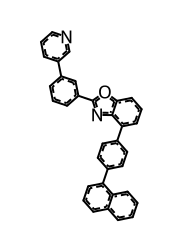 c1cncc(-c2cccc(-c3nc4c(-c5ccc(-c6cccc7ccccc67)cc5)cccc4o3)c2)c1